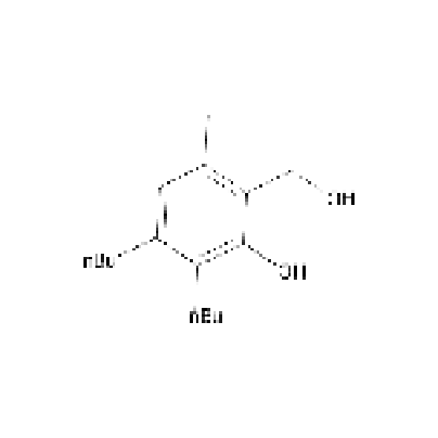 CCCCc1cc(C)c(CO)c(O)c1CCCC